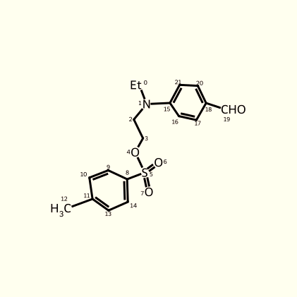 CCN(CCOS(=O)(=O)c1ccc(C)cc1)c1ccc(C=O)cc1